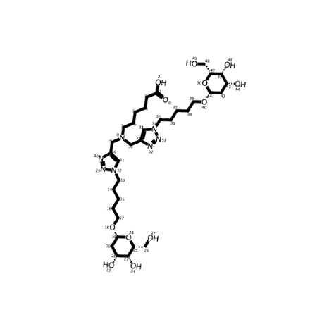 O=C(O)CCCCCN(Cc1cn(CCCCCO[C@H]2C[C@@H](O)[C@@H](O)[C@@H](CO)O2)nn1)Cc1cn(CCCCCO[C@H]2C[C@@H](O)[C@@H](O)[C@@H](CO)O2)nn1